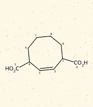 O=C(O)C1C=CC(C(=O)O)CCCC1